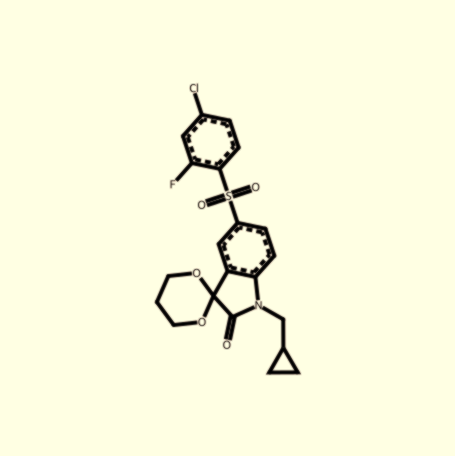 O=C1N(CC2CC2)c2ccc(S(=O)(=O)c3ccc(Cl)cc3F)cc2C12OCCCO2